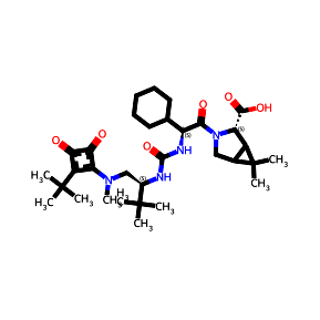 CN(C[C@@H](NC(=O)N[C@H](C(=O)N1CC2C([C@H]1C(=O)O)C2(C)C)C1CCCCC1)C(C)(C)C)c1c(C(C)(C)C)c(=O)c1=O